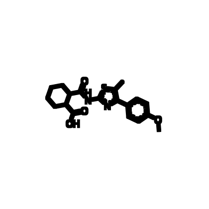 COc1ccc(-c2nc(NC(=O)C3CCCCC3C(=O)O)sc2C)cc1